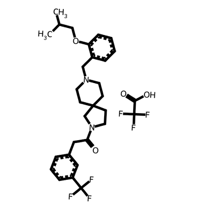 CC(C)COc1ccccc1CN1CCC2(CC1)CCN(C(=O)Cc1cccc(C(F)(F)F)c1)C2.O=C(O)C(F)(F)F